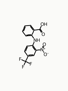 O=C(O)c1ccccc1Nc1ccc(C(F)(F)F)cc1[N+](=O)[O-]